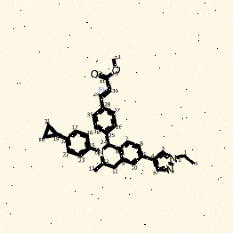 CCn1cc(-c2ccc3c(c2)CC(C)N(c2ccc(C4CC4)cc2)C3c2ccc(/C=C/C(=O)OC)cc2)cn1